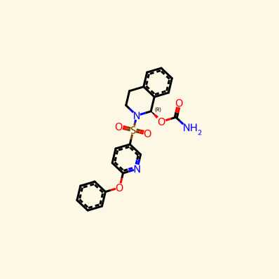 NC(=O)O[C@@H]1c2ccccc2CCN1S(=O)(=O)c1ccc(Oc2ccccc2)nc1